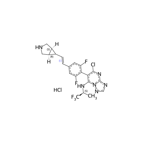 C[C@H](Nc1c(-c2c(F)cc(/C=C/C3[C@H]4CNC[C@@H]34)cc2F)c(Cl)nc2ncnn12)C(F)(F)F.Cl